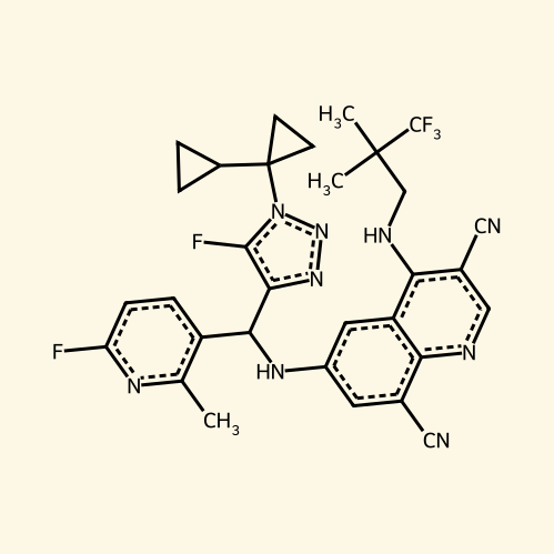 Cc1nc(F)ccc1C(Nc1cc(C#N)c2ncc(C#N)c(NCC(C)(C)C(F)(F)F)c2c1)c1nnn(C2(C3CC3)CC2)c1F